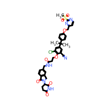 CC(C)(c1ccc(OCc2ccnc(S(C)(=O)=O)n2)cc1)c1cc(Cl)c(OCCC(=O)NCc2ccc3c(c2)CN(C2CCC(=O)NC2=O)C3=O)c(C#N)c1